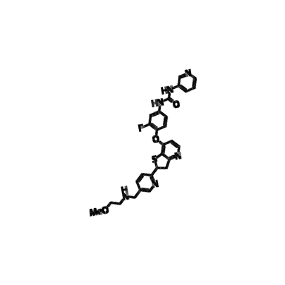 COCCNCc1ccc(C2Cc3nccc(Oc4ccc(NC(=O)Nc5cccnc5)cc4F)c3S2)nc1